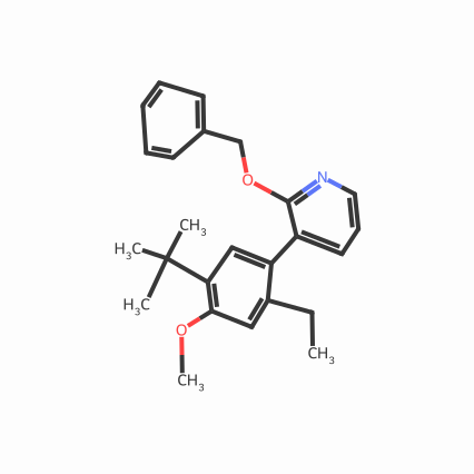 CCc1cc(OC)c(C(C)(C)C)cc1-c1cccnc1OCc1ccccc1